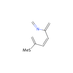 C=NC(=C)/C=C\C(=C)SC